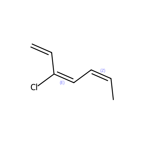 C=C/C(Cl)=C\C=C/C